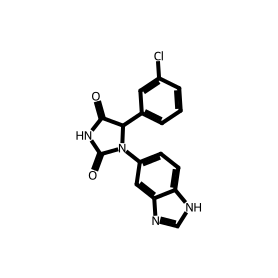 O=C1NC(=O)N(c2ccc3[nH]cnc3c2)C1c1cccc(Cl)c1